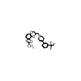 Cc1nc2ccc3c(c2o1)OC(CN1CC=C(c2cccc(C(F)(F)F)c2)CC1)CO3